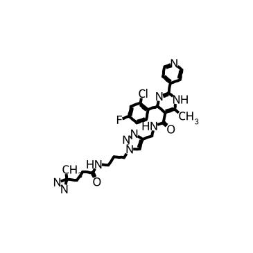 CC1=C(C(=O)NCc2cn(CCCNC(=O)CCC3(C)N=N3)nn2)C(c2ccc(F)cc2Cl)N=C(c2ccncc2)N1